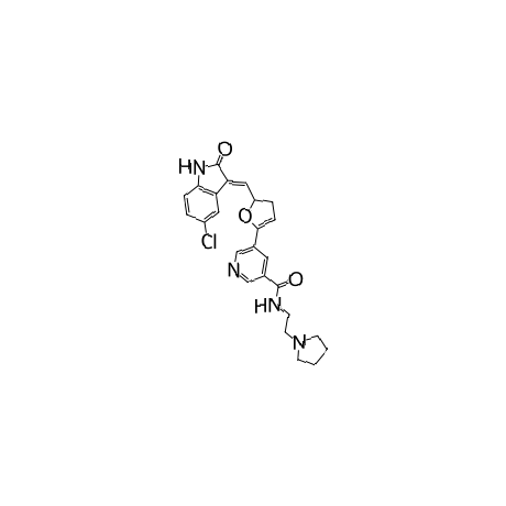 O=C1Nc2ccc(Cl)cc2/C1=C\C1CC=C(c2cncc(C(=O)NCCN3CCCC3)c2)O1